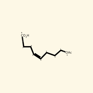 CC(=O)OCCC/C=C\CCC(=O)O